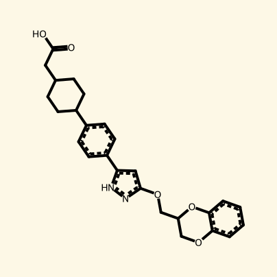 O=C(O)CC1CCC(c2ccc(-c3cc(OCC4COc5ccccc5O4)n[nH]3)cc2)CC1